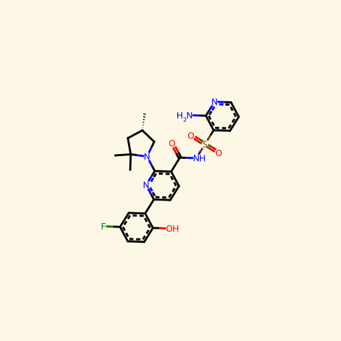 C[C@@H]1CN(c2nc(-c3cc(F)ccc3O)ccc2C(=O)NS(=O)(=O)c2cccnc2N)C(C)(C)C1